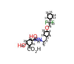 CC(Cc1ccc(OCC(F)(F)c2ccccc2)cc1)NC[C@H](O)c1ccc(O)c(C(=O)O)c1